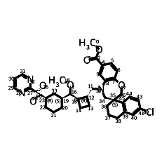 COC(=O)c1ccc2c(c1)N(C[C@@H]1CC[C@H]1C(OC)[C@H]1CCC[C@@H](S(=O)(=O)c3ncccn3)C1)C[C@@]1(CCCc3cc(Cl)ccc31)CO2